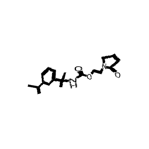 C=C(C)c1cccc(C(C)(C)NC(=O)OCCN2CCCC2=O)c1